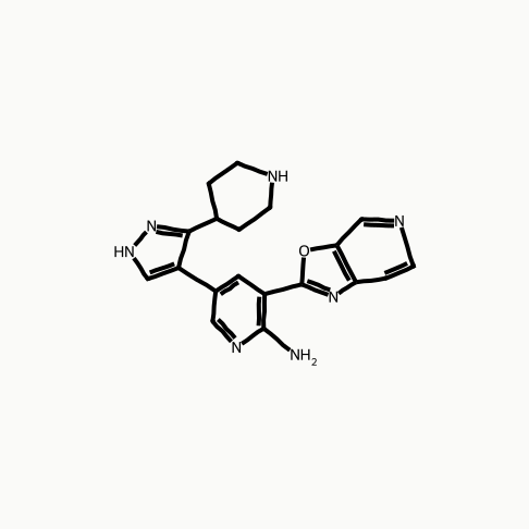 Nc1ncc(-c2c[nH]nc2C2CCNCC2)cc1-c1nc2ccncc2o1